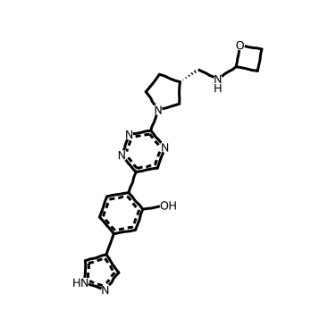 Oc1cc(-c2cn[nH]c2)ccc1-c1cnc(N2CC[C@H](CNC3CCO3)C2)nn1